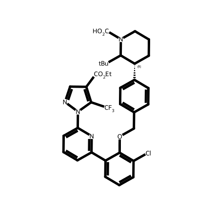 CCOC(=O)c1cnn(-c2cccc(-c3cccc(Cl)c3OCc3ccc([C@H]4CCCN(C(=O)O)C4C(C)(C)C)cc3)n2)c1C(F)(F)F